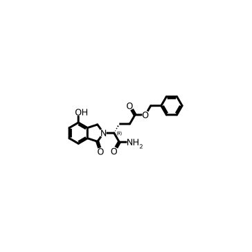 NC(=O)[C@@H](CCC(=O)OCc1ccccc1)N1Cc2c(O)cccc2C1=O